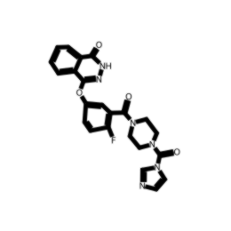 O=C(c1cc(Oc2n[nH]c(=O)c3ccccc23)ccc1F)N1CCN(C(=O)n2ccnc2)CC1